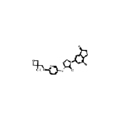 CC1(COc2ccc(O[C@@H]3CCN(c4cc(F)c5c(c4)C(=O)CC5)C3=O)cn2)COC1